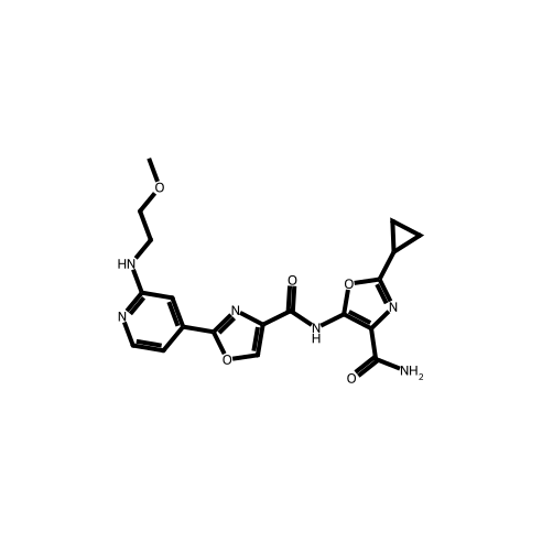 COCCNc1cc(-c2nc(C(=O)Nc3oc(C4CC4)nc3C(N)=O)co2)ccn1